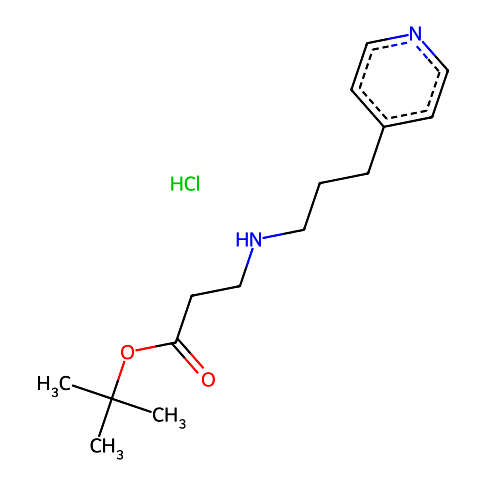 CC(C)(C)OC(=O)CCNCCCc1ccncc1.Cl